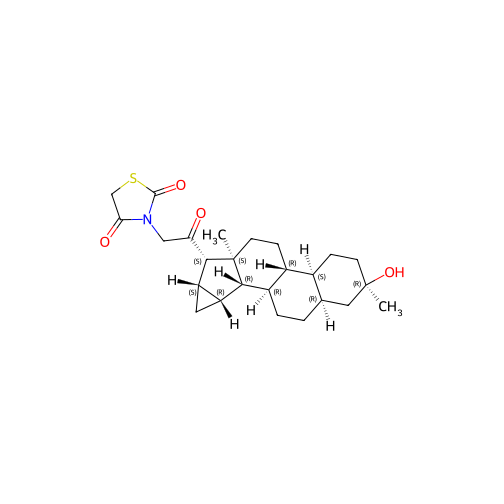 C[C@@]1(O)CC[C@H]2[C@H](CC[C@@H]3[C@@H]2CC[C@@]2(C)[C@H]3[C@@H]3C[C@@H]3[C@@H]2C(=O)CN2C(=O)CSC2=O)C1